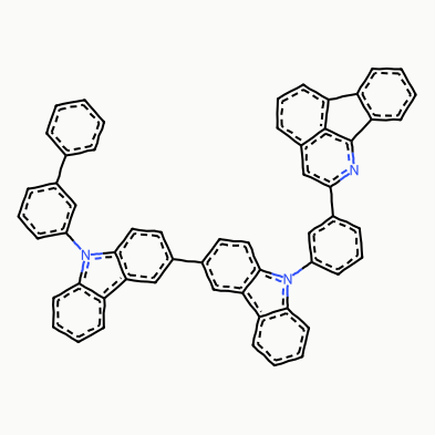 c1ccc(-c2cccc(-n3c4ccccc4c4cc(-c5ccc6c(c5)c5ccccc5n6-c5cccc(-c6cc7cccc8c7c(n6)-c6ccccc6-8)c5)ccc43)c2)cc1